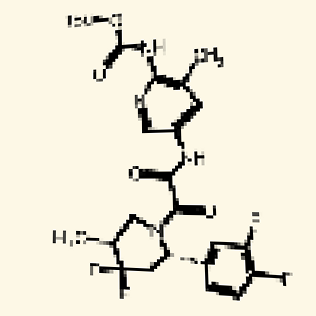 Cc1cc(NC(=O)C(=O)N2C[C@H](C)C(F)(F)C[C@H]2c2ccc(F)c(F)c2)cnc1NC(=O)OC(C)(C)C